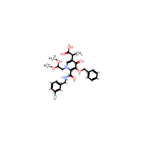 COC(Cn1cc(C(C)C(=O)O)c(=O)c(OCc2ccccc2)c1C(=O)NCc1cccc(Cl)c1)OC